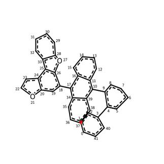 c1ccc(-c2ccccc2-c2c3ccccc3c(-c3cc4occc4c4c3oc3ccccc34)c3ccccc23)cc1